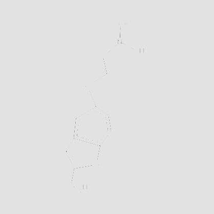 CN(C)CCOc1ccc2c(c1)CC(C(=O)O)O2